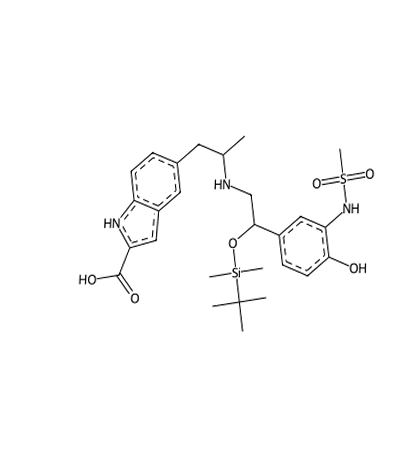 CC(Cc1ccc2[nH]c(C(=O)O)cc2c1)NCC(O[Si](C)(C)C(C)(C)C)c1ccc(O)c(NS(C)(=O)=O)c1